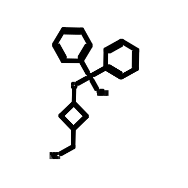 CC(C)(C)[Si](OC1CC(CC#N)C1)(c1ccccc1)c1ccccc1